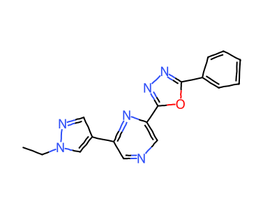 CCn1cc(-c2cncc(-c3nnc(-c4ccccc4)o3)n2)cn1